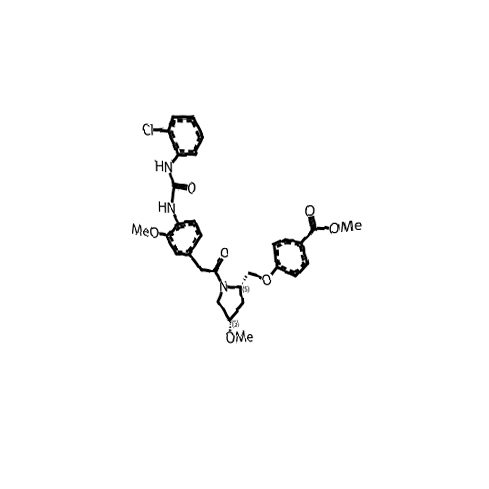 COC(=O)c1ccc(OC[C@@H]2C[C@H](OC)CN2C(=O)Cc2ccc(NC(=O)Nc3ccccc3Cl)c(OC)c2)cc1